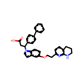 O=C(O)CC(c1ccc(-c2ccccc2)cc1)n1ccc2cc(OCCc3ccc4c(n3)NCCC4)ccc21